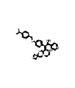 CC(C)c1ccc(COc2ccc(/C(C(=N)c3ccncc3)=C3/NCCN(CC4(C)COC4)C3=O)cc2)cc1